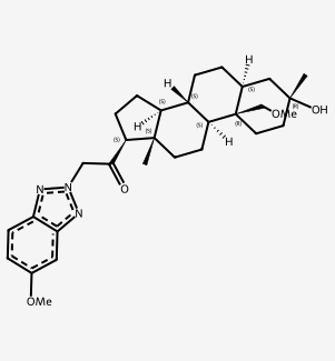 COC[C@]12CC[C@@](C)(O)C[C@@H]1CC[C@H]1[C@@H]3CC[C@H](C(=O)Cn4nc5ccc(OC)cc5n4)[C@@]3(C)CC[C@@H]12